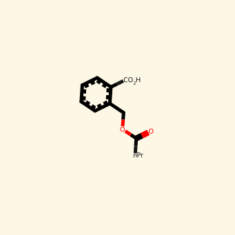 CCCC(=O)OCc1ccccc1C(=O)O